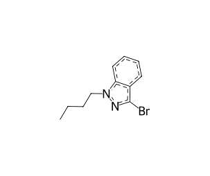 CCCCn1nc(Br)c2ccccc21